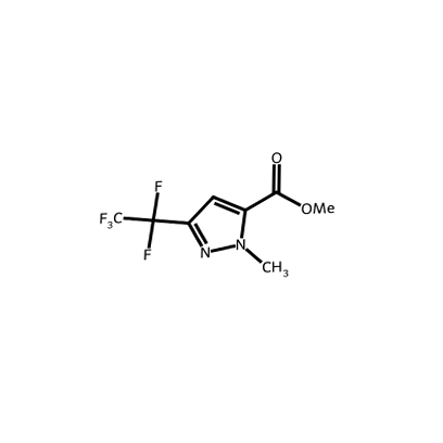 COC(=O)c1cc(C(F)(F)C(F)(F)F)nn1C